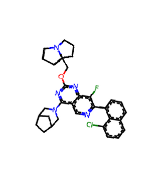 Fc1c(-c2cccc3cccc(Cl)c23)ncc2c(N3CC4CCC(C4)C3)nc(OCC34CCCN3CCC4)nc12